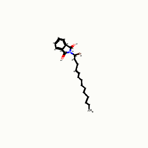 CCCCCCCCCCCCCC(Br)N1C(=O)c2ccccc2C1=O